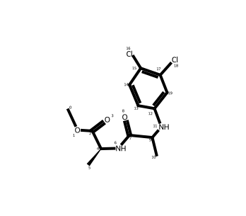 COC(=O)[C@H](C)NC(=O)C(C)Nc1ccc(Cl)c(Cl)c1